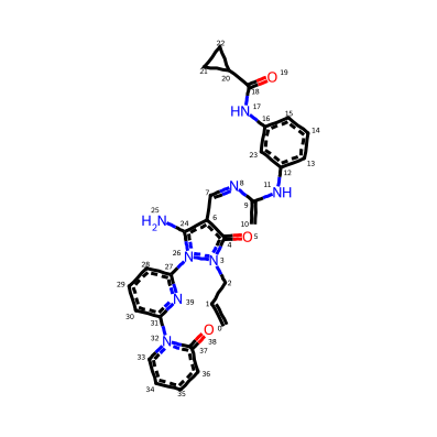 C=CCn1c(=O)c(/C=N\C(=C)Nc2cccc(NC(=O)C3CC3)c2)c(N)n1-c1cccc(-n2ccccc2=O)n1